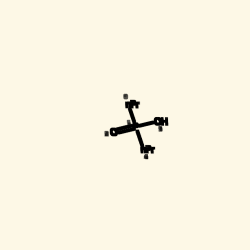 CCCP(=O)(O)CCC